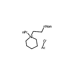 CC(=O)[O-].CCCCCCCCCCC[N+]1(CCC)CCCCC1